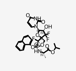 CC(C)OC(=O)[C@H](C)NP(=O)(OC[C@@]1(C(F)F)O[C@@H](n2ccc(=O)[nH]c2=O)[C@H](O)C1(F)F)Oc1cccc2ccccc12